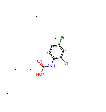 O=C(O)Nc1ccc(Br)cc1Cl